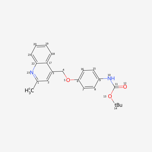 Cc1cc(COc2ccc(NC(=O)OC(C)(C)C)cc2)c2ccccc2n1